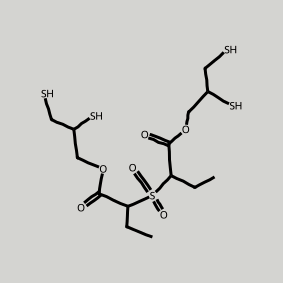 CCC(C(=O)OCC(S)CS)S(=O)(=O)C(CC)C(=O)OCC(S)CS